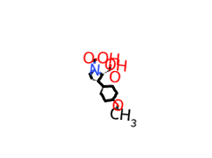 CO[C@H]1CC[C@@H]([C@@H]2CCN(C(=O)O)[C@@H]2C(=O)O)CC1